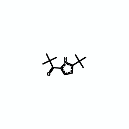 CC(C)(C)C(=O)c1ccc(C(C)(C)C)[nH]1